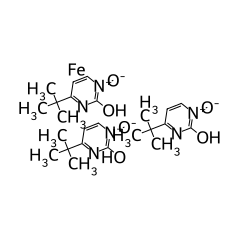 CC(C)(C)c1cc[n+]([O-])c(O)n1.CC(C)(C)c1cc[n+]([O-])c(O)n1.CC(C)(C)c1cc[n+]([O-])c(O)n1.[Fe]